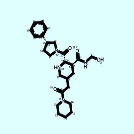 O=C(NCO)[C@H]1CC(CC(=O)N2CCCCC2)CN[C@@H]1C(=O)N1CC[C@H](c2ccccc2)C1